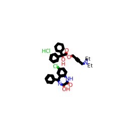 CCN(CC)CC#CCOC(=O)C(O)(c1ccccc1)C1CCCCC1.Cl.O=C1Nc2ccc(Cl)cc2C(c2ccccc2)=NC1O